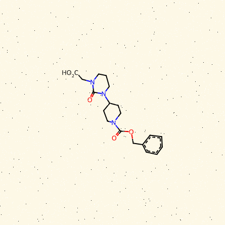 O=C(O)CN1CCCN(C2CCN(C(=O)OCc3ccccc3)CC2)C1=O